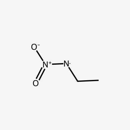 CC[N][N+](=O)[O-]